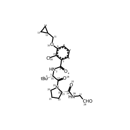 CC(C)(C)[C@H](NC(=O)c1cccc(OCC2CC2)c1Cl)C(=O)N1CCC[C@H]1C(=O)NCC=O